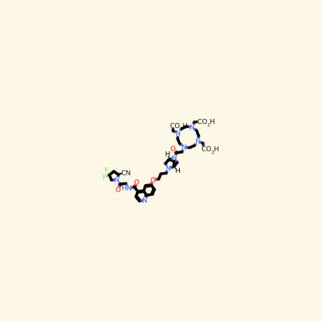 N#C[C@@H]1CC(F)(F)CN1C(=O)CNC(=O)c1ccnc2ccc(OCCCN3C[C@@H]4C[C@H]3CN4C(=O)CN3CCN(CC(=O)O)CCN(CC(=O)O)CCN(CC(=O)O)CC3)cc12